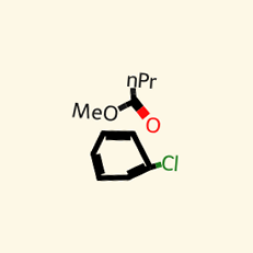 CCCC(=O)OC.Clc1ccccc1